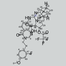 COc1ccc(CCn2cnc3cc(N/C(=N/C4C[C@@H]5C[C@H]([C@@H]4C)C5(C)C)N4CC[C@H](OC(=O)C(F)(F)F)[C@H]4C(=O)O)ccc3c2=O)c(F)c1